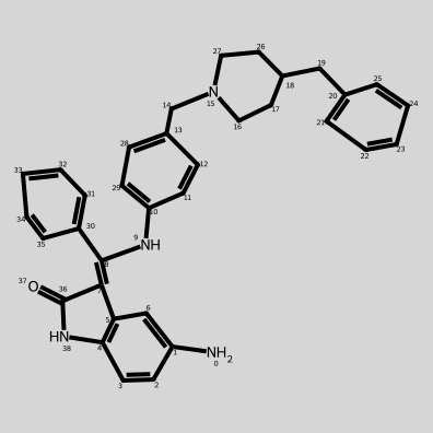 Nc1ccc2c(c1)C(=C(Nc1ccc(CN3CCC(Cc4ccccc4)CC3)cc1)c1ccccc1)C(=O)N2